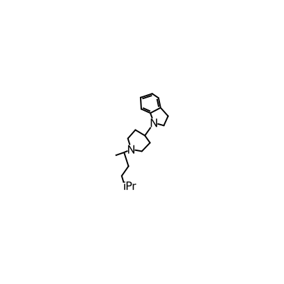 CC(C)CCC(C)N1CCC(N2CCc3ccccc32)CC1